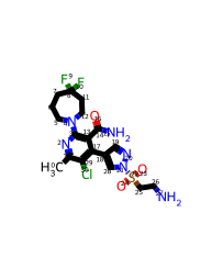 Cc1nc(N2CCCC(F)(F)CC2)c(C(N)=O)c(-c2cnn(S(=O)(=O)CCN)c2)c1Cl